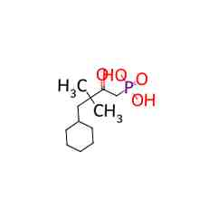 CC(C)(CC1CCCCC1)C(=O)CP(=O)(O)O